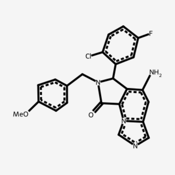 COc1ccc(CN2C(=O)c3c(c(N)cc4cncn34)C2c2cc(F)ccc2Cl)cc1